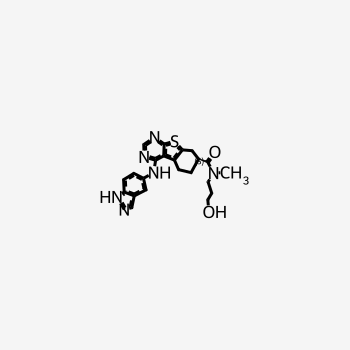 CN(CCCO)C(=O)[C@H]1CCc2c(sc3ncnc(Nc4ccc5[nH]ncc5c4)c23)C1